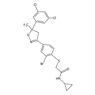 O=C(CSc1ccc(C2=NOC(c3cc(Cl)cc(Cl)c3)(C(F)(F)F)C2)cc1Br)NC1CC1